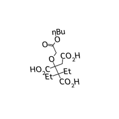 CCCCOC(=O)COC(CC(=O)O)(C(=O)O)C(CC)(CC)C(=O)O